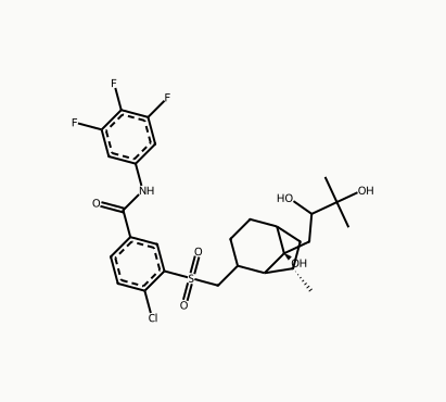 C[C@H]1CC2CCC(CS(=O)(=O)c3cc(C(=O)Nc4cc(F)c(F)c(F)c4)ccc3Cl)C1[C@@]2(O)CC(O)C(C)(C)O